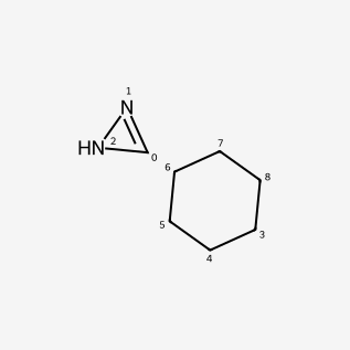 C1=NN1.C1CCCCC1